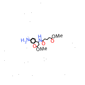 COC(=O)CCCC(=O)NC(CC(=O)OC)c1ccc(N)cc1